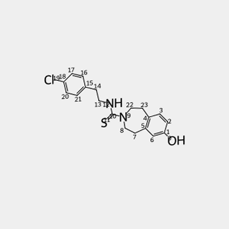 Oc1ccc2c(c1)CCN(C(=S)NCCc1ccc(Cl)cc1)CC2